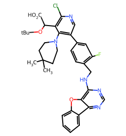 CC1(C)CCN(c2c(-c3ccc(CNc4ncnc5c4oc4ccccc45)c(F)c3)cnc(Cl)c2C(OC(C)(C)C)C(=O)O)CC1